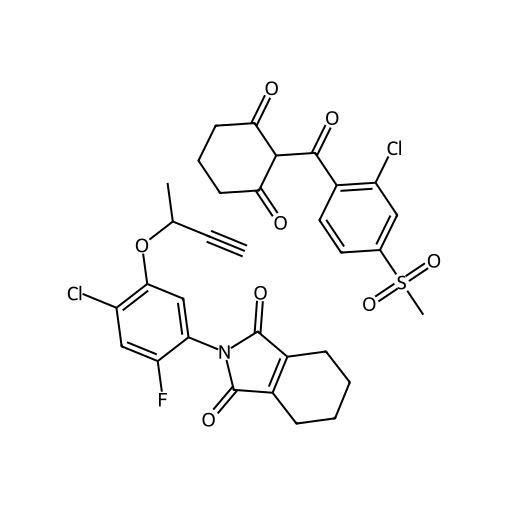 C#CC(C)Oc1cc(N2C(=O)C3=C(CCCC3)C2=O)c(F)cc1Cl.CS(=O)(=O)c1ccc(C(=O)C2C(=O)CCCC2=O)c(Cl)c1